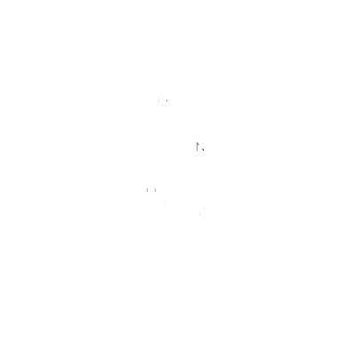 c1ccc(N(c2ccc3c(c2)oc2ccccc23)c2ccc3oc4ccc5c(oc6ccc7ccccc7c65)c4c3c2)cc1